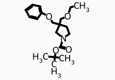 CCOCC1(COc2ccccc2)CCN(C(=O)OC(C)(C)C)C1